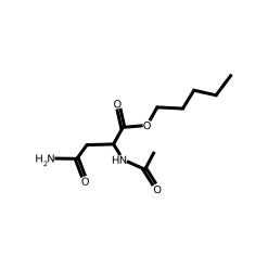 CCCCCOC(=O)C(CC(N)=O)NC(C)=O